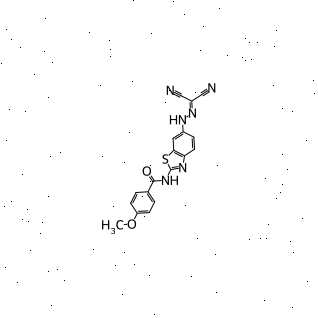 COc1ccc(C(=O)Nc2nc3ccc(NN=C(C#N)C#N)cc3s2)cc1